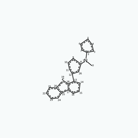 CN(c1ccccc1)c1cccc(-c2cccc3c2sc2ccccc23)c1